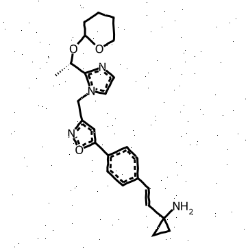 C[C@H](OC1CCCCO1)c1nccn1Cc1cc(-c2ccc(C=CC3(N)CC3)cc2)on1